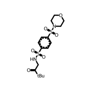 CC(C)(C)C(=O)CNS(=O)(=O)c1ccc(S(=O)(=O)N2CCOCC2)cc1